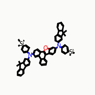 CC1(C)c2ccccc2-c2ccc(N(c3ccc([Si](C)(C)C)cc3)c3ccc4c(c3)c3ccccc3c3c5ccc(N(c6ccc([Si](C)(C)C)cc6)c6ccc7c(c6)C(C)(C)C6C=CC=CC76)cc5oc43)cc21